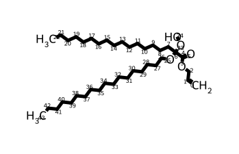 C=CCOC(=O)C(CCCCCCCCCCCCCCCC)(OO)OCCCCCCCCCCCCCCCCCC